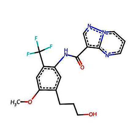 COc1cc(C(F)(F)F)c(NC(=O)c2cnn3cccnc23)cc1CCCO